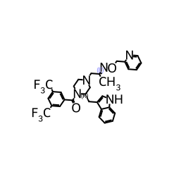 C/C(CN1CCN(C(=O)c2cc(C(F)(F)F)cc(C(F)(F)F)c2)[C@H](Cc2c[nH]c3ccccc23)C1)=N\OCc1ccccn1